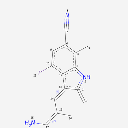 C=c1[nH]c2c(C)c(C#N)cc(I)c2/c1=C/C(C)=C\N